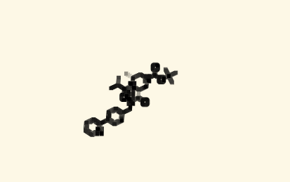 CC(C)C(=O)N1[C@H](C)CN(C(=O)OC(C)(C)C)C[C@@H]1C(=O)NCc1ccc(-c2ccccn2)cc1